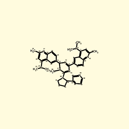 Cc1cc(N(C)C)c2cc(C3=NC(c4ccc5nc(C)cc(N(C)C)c5c4)N(N)C(N4CCCC4c4cccnc4)=N3)ccc2n1